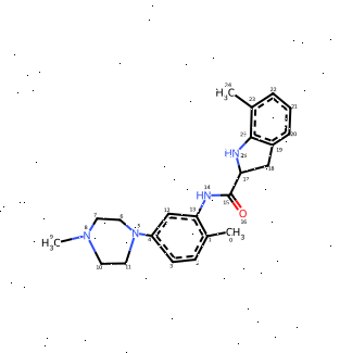 Cc1ccc(N2CCN(C)CC2)cc1NC(=O)C1Cc2cccc(C)c2N1